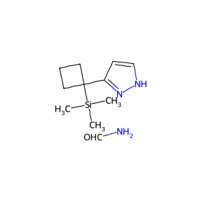 C[Si](C)(C)C1(c2cc[nH]n2)CCC1.NC=O